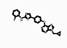 Fc1ccccc1Nc1ncc(-c2ccc(Oc3ncnc4c3ncn4CC3CC3)cc2)s1